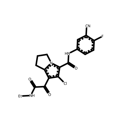 CCNC(=O)C(=O)c1c(Cl)c(C(=O)Nc2ccc(F)c(C#N)c2)n2c1CCC2